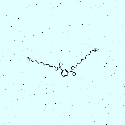 CC(C)CCCCCCCCOC(=O)c1cccc(C(=O)OCCCCCCCCC(C)C)c1